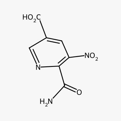 NC(=O)c1ncc(C(=O)O)cc1[N+](=O)[O-]